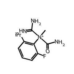 CC(C)c1cccc(F)c1[N+](C)(C(=N)N)C(N)=O